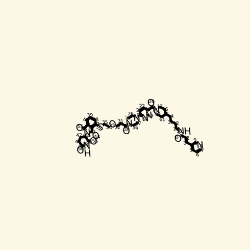 O=C(/C=C/c1cccnc1)NCCCCC1CCN(C(=O)c2ccc(N3CCN(C(=O)CCOCCSc4cccc5c4C(=O)N(C4CCC(=O)NC4=O)C5=O)CC3)nn2)CC1